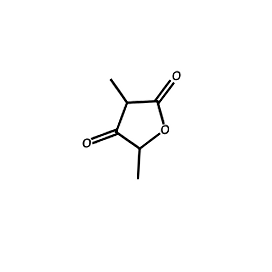 CC1OC(=O)C(C)C1=O